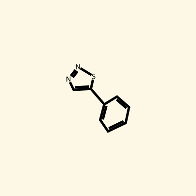 c1ccc(-c2cnns2)cc1